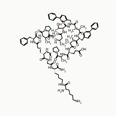 CC(C)[C@H](NC(=O)[C@H](Cc1ccccc1)NC(=O)CSC[C@H](NC(=O)[C@@H]1CCCN1C(=O)[C@H](C)NC(=O)[C@H](CCC(=O)O)NC(=O)[C@H](C)N(C)C(=O)[C@H](Cc1ccc(-c2ccccc2)cc1)NC(=O)[C@H](C)N(C)C(=O)[C@H](Cc1ccc(-c2ccccc2)cc1)NC(=O)[C@@H](NC(=O)C[C@@H](C)O)[C@@H](C)O)C(=O)NCC(=O)N[C@@H](CCCCNC(=O)[C@@H](N)CCCCN)C(N)=O)C(=O)N1CCC[C@H]1C(N)=O